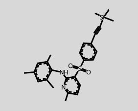 Cc1cc(C)c(Nc2nc(C)ccc2S(=O)(=O)c2ccc(C#C[Si](C)(C)C)cc2)c(C)c1